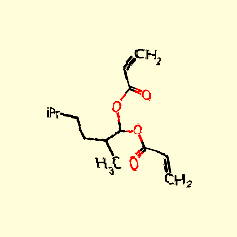 C=CC(=O)OC(OC(=O)C=C)C(C)CCC(C)C